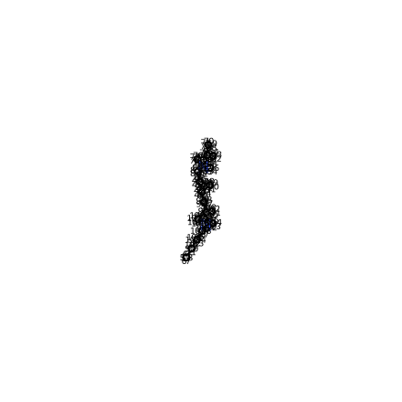 C1=CC(c2ccccc2)CC=C1c1ccc(C2C=CC(n3c4ccccc4c4c5c6ccccc6c(-c6ccc(-c7ccc8c9ccc(C%10=CC(n%11c%12ccccc%12c%12c%13c%14ccccc%14c(-c%14ccccc%14)cc%13c%13ccccc%13c%12%11)=CCC%10)cc9c9ccccc9c8c7)cc6)cc5c5ccccc5c43)=CC2)cc1